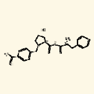 Cl.N=C(N)c1ccc(CN2CCC[C@H]2C(=O)NC(=O)[C@H](N)Cc2ccccc2)cc1